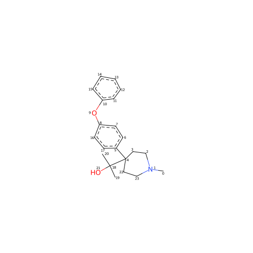 CN1CCC(c2ccc(Oc3ccccc3)cc2)(C(C)(C)O)CC1